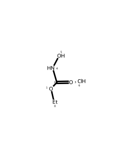 CCOC(=O)NO.Cl